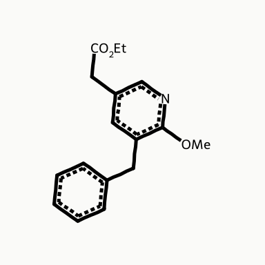 CCOC(=O)Cc1cnc(OC)c(Cc2ccccc2)c1